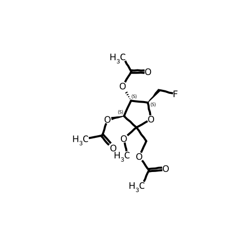 COC1(COC(C)=O)O[C@H](CF)[C@@H](OC(C)=O)[C@@H]1OC(C)=O